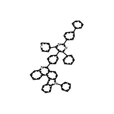 c1ccc(-c2ccc(-c3nc(-c4ccccc4)c(-c4ccc(-c5nc6ccccc6c6c5ccc5c6c6ccccc6n5-c5ccccc5)cc4)c(-c4ccccc4)n3)cc2)cc1